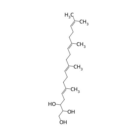 CC(C)=CCC/C(C)=C/CC/C(C)=C/CC/C(C)=C/CC(O)C(O)CO